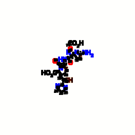 Nc1nc(C(=NOCC(=O)O)C(=O)NC2C(=O)N3C(C(=O)O)=C(C=C(S)c4ncccn4)CSC23)cs1